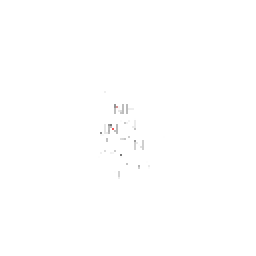 CCCn1c(=O)c2[nH]c(C3CC4CCC(C3)C4NCCN3CCCCC3)nc2n(CCC)c1=O